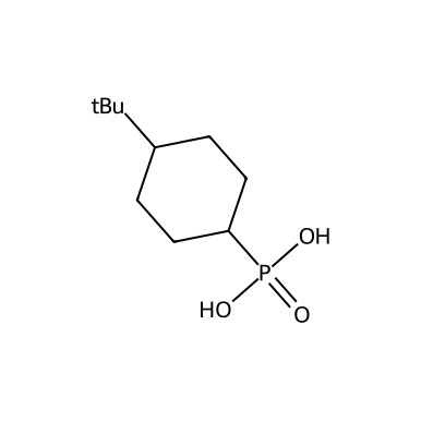 CC(C)(C)C1CCC(P(=O)(O)O)CC1